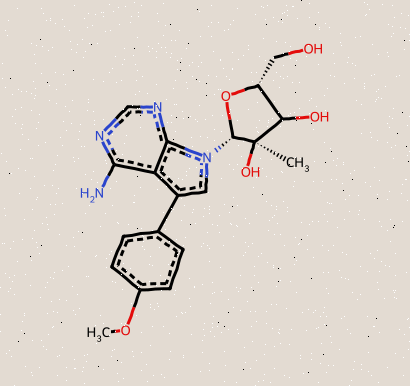 COc1ccc(-c2cn([C@@H]3O[C@H](CO)C(O)[C@@]3(C)O)c3ncnc(N)c23)cc1